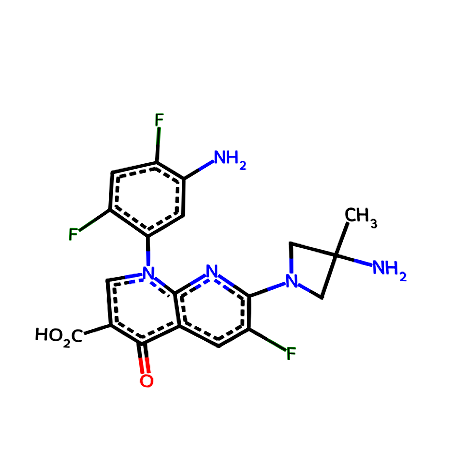 CC1(N)CN(c2nc3c(cc2F)c(=O)c(C(=O)O)cn3-c2cc(N)c(F)cc2F)C1